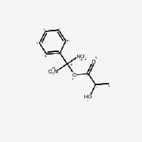 CC(O)C(=O)OC(c1ccccc1)([N+](=O)[O-])[N+](=O)[O-]